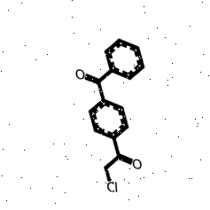 O=C(CCl)c1ccc(C(=O)c2ccccc2)cc1